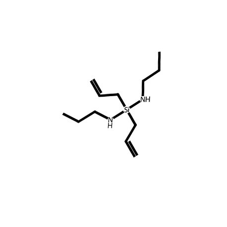 C=CC[Si](CC=C)(NCCC)NCCC